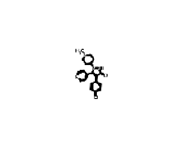 CN1CCC(n2[nH]c(=O)c(-c3ccc(Cl)cc3)c2-c2ccncc2)CC1